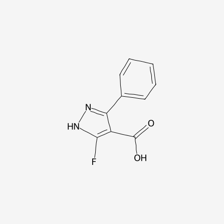 O=C(O)c1c(-c2ccccc2)n[nH]c1F